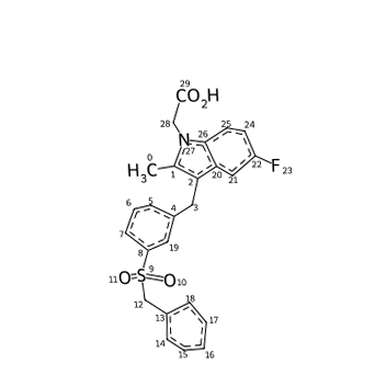 Cc1c(Cc2cccc(S(=O)(=O)Cc3ccccc3)c2)c2cc(F)ccc2n1CC(=O)O